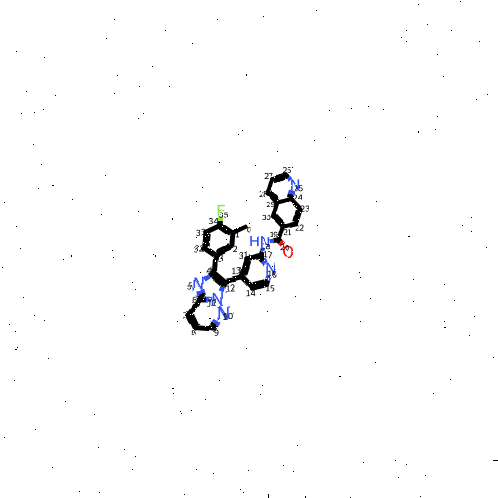 Cc1cc(-c2nc3cccnn3c2-c2ccnc(NC(=O)c3ccc4ncccc4c3)c2)ccc1F